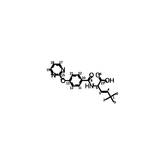 CC(C)(C)/C=C/[C@@H](NC(=O)c1ccc(Oc2ncccn2)cc1)C(=O)O